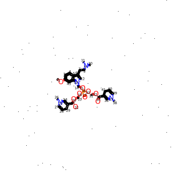 COc1ccc2c(CCN(C)C)cn(COP(=O)(OCOC(=O)C3=CN(C)C=CC3)OCOC(=O)C3=CN(C)C=CC3)c2c1